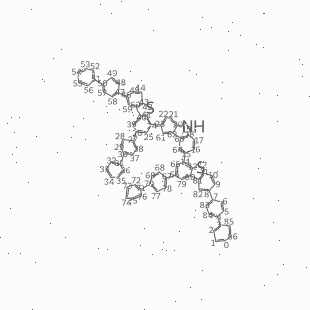 c1ccc(-c2ccc(-c3ccc4sc5c(-c6ccc7[nH]c8ccc(-c9cc(-c%10ccc(-c%11ccccc%11)cc%10)cc%10c9sc9ccc(-c%11ccc(-c%12ccccc%12)cc%11)cc9%10)cc8c7c6)cc(-c6ccc(-c7ccccc7)cc6)cc5c4c3)cc2)cc1